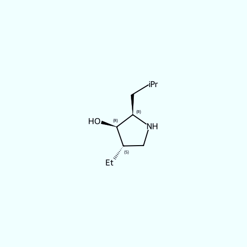 CC[C@H]1CN[C@H](CC(C)C)[C@@H]1O